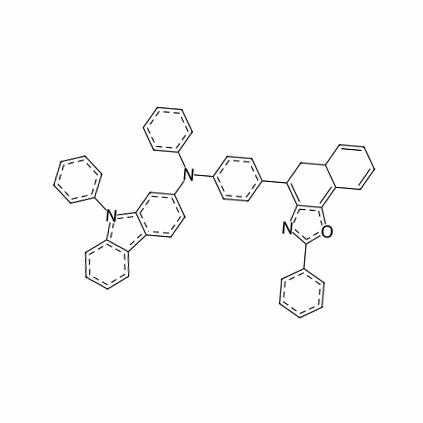 C1=CC2=c3oc(-c4ccccc4)nc3=C(c3ccc(N(c4ccccc4)c4ccc5c6ccccc6n(-c6ccccc6)c5c4)cc3)CC2C=C1